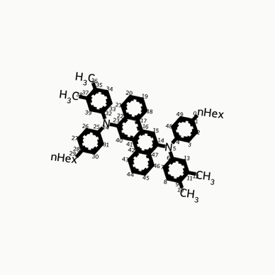 CCCCCCc1ccc(N(c2ccc(C)c(C)c2)c2cc3c4ccccc4c(N(c4ccc(CCCCCC)cc4)c4ccc(C)c(C)c4)cc3c3ccccc23)cc1